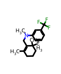 CC1=C(CN(C)c2cccc(C(F)(F)F)c2)C(C)(C)CCC1